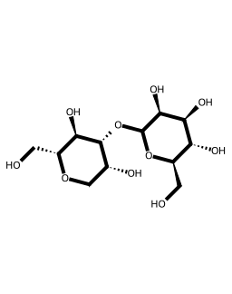 OC[C@H]1OC(O[C@H]2[C@H](O)[C@@H](CO)O[CH][C@H]2O)[C@@H](O)[C@@H](O)[C@@H]1O